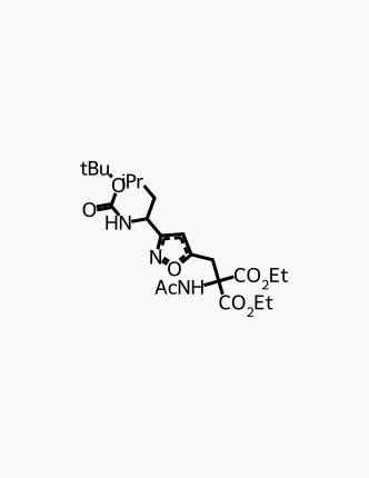 CCOC(=O)C(Cc1cc(C(CC(C)C)NC(=O)OC(C)(C)C)no1)(NC(C)=O)C(=O)OCC